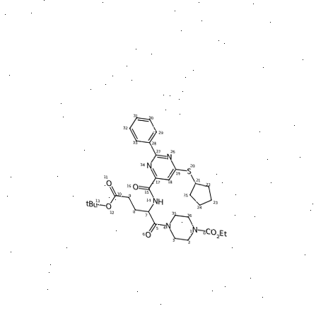 CCOC(=O)N1CCN(C(=O)C(CCC(=O)OC(C)(C)C)NC(=O)c2cc(SC3CCCC3)nc(-c3ccccc3)n2)CC1